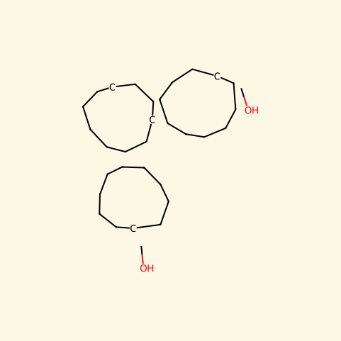 C1CCCCCCCCC1.C1CCCCCCCCC1.C1CCCCCCCCC1.CO.CO